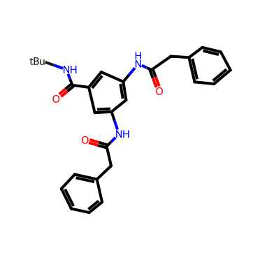 CC(C)(C)NC(=O)c1cc(NC(=O)Cc2ccccc2)cc(NC(=O)Cc2ccccc2)c1